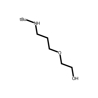 CC(C)(C)NCCCOCCO